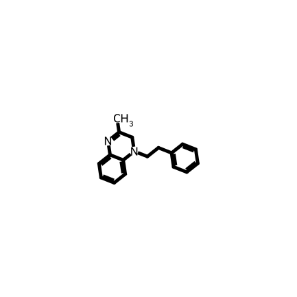 CC1=Nc2ccccc2N(CCc2ccccc2)C1